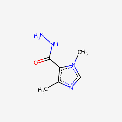 Cc1ncn(C)c1C(=O)NN